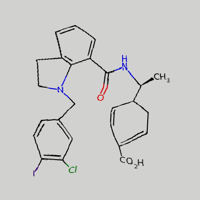 C[C@H](NC(=O)c1cccc2c1N(Cc1ccc(I)c(Cl)c1)CC2)C1C=CC(C(=O)O)=CC1